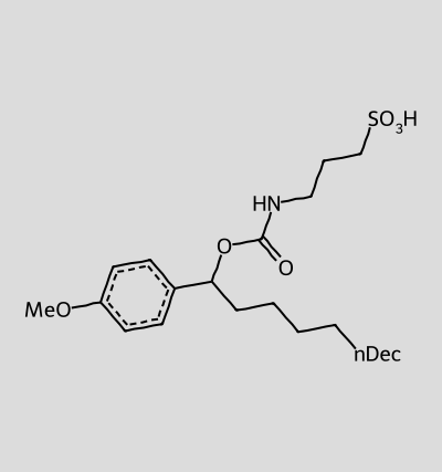 CCCCCCCCCCCCCCC(OC(=O)NCCCS(=O)(=O)O)c1ccc(OC)cc1